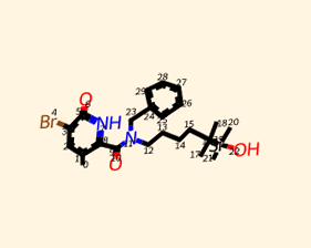 Cc1cc(Br)c(=O)[nH]c1C(=O)N(CCCCC(C)(C)[Si](C)(C)O)Cc1ccccc1